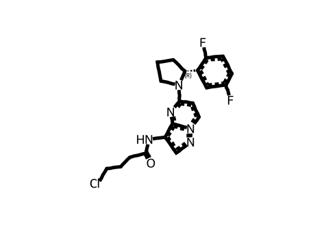 O=C(CCCCl)Nc1cnn2ccc(N3CCC[C@@H]3c3cc(F)ccc3F)nc12